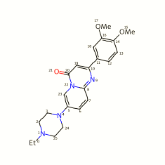 CCN1CCN(c2ccc3nc(-c4ccc(OC)c(OC)c4)cc(=O)n3c2)CC1